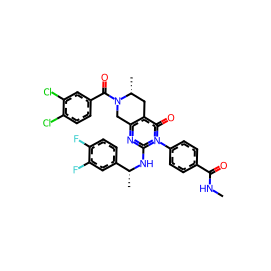 CNC(=O)c1ccc(-n2c(N[C@H](C)c3ccc(F)c(F)c3)nc3c(c2=O)C[C@@H](C)N(C(=O)c2ccc(Cl)c(Cl)c2)C3)cc1